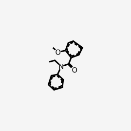 CCN(C(=O)c1ccccc1OC)c1ccccc1